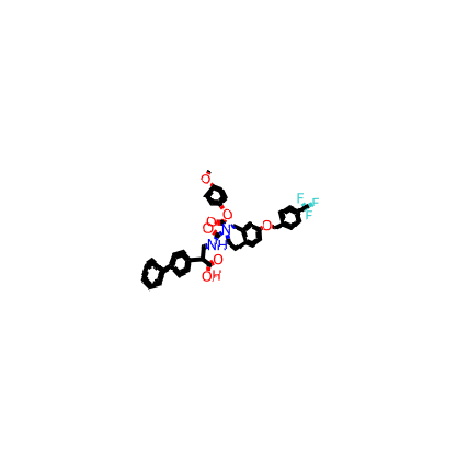 COc1ccc(OC(=O)[N+]2(C(=O)NCC(C(=O)O)c3ccc(-c4ccccc4)cc3)CCc3ccc(OCc4ccc(C(F)(F)F)cc4)cc3C2)cc1